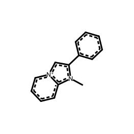 Cn1c(-c2ccccc2)c[n+]2ccccc12